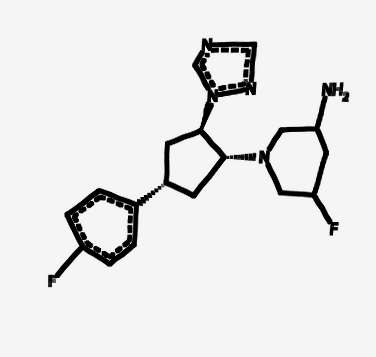 NC1CC(F)CN([C@@H]2C[C@H](c3ccc(F)cc3)C[C@H]2n2cncn2)C1